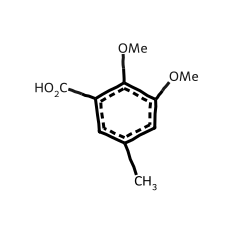 COc1cc(C)cc(C(=O)O)c1OC